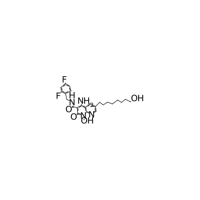 Nc1c(C(=O)NCc2ccc(F)cc2F)c(=O)n(O)c2ncc(CCCCCCCCO)cc12